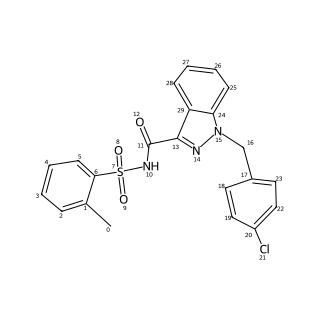 Cc1ccccc1S(=O)(=O)NC(=O)c1nn(Cc2ccc(Cl)cc2)c2ccccc12